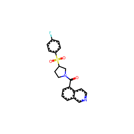 O=C(c1cccc2cnccc12)N1CCC(S(=O)(=O)c2ccc(F)cc2)C1